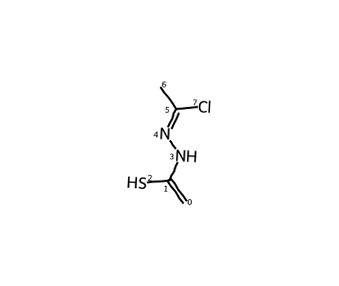 C=C(S)NN=C(C)Cl